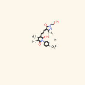 CC1=NN(CCO)C(=O)C1=CC=Cc1c(C)c(C#N)c(=O)n(-c2ccc(S(=O)(=O)O)cc2)c1O.[K]